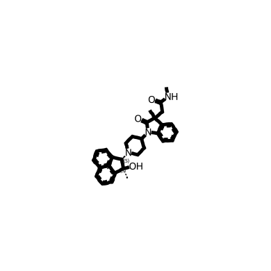 CNC(=O)CC1(C)C(=O)N(C2CCN([C@H]3c4cccc5cccc(c45)[C@]3(C)O)CC2)c2ccccc21